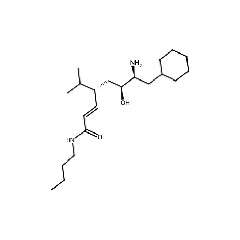 CCCCNC(=O)/C=C/[C@@H](C[C@H](O)[C@@H](N)CC1CCCCC1)C(C)C